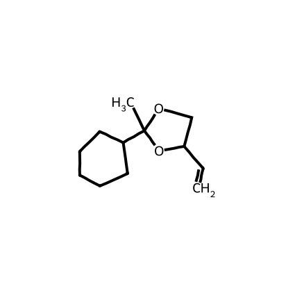 C=CC1COC(C)(C2CCCCC2)O1